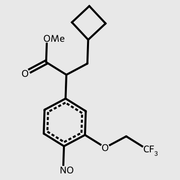 COC(=O)C(CC1CCC1)c1ccc(N=O)c(OCC(F)(F)F)c1